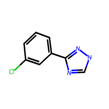 Clc1cccc(C2=N[N]C=N2)c1